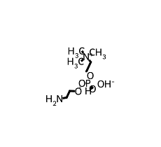 C[N+](C)(C)CCO[PH](=O)OOCCN.[OH-]